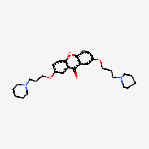 O=c1c2cc(OCCCN3CCCCC3)ccc2oc2ccc(OCCCN3CCCCC3)cc12